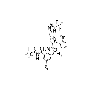 C=C(C)NC(=O)c1cc(C#N)cc(C)c1NC(=O)c1cc(Cn2nnc(C(F)(F)F)n2)nn1-c1ccccc1Br